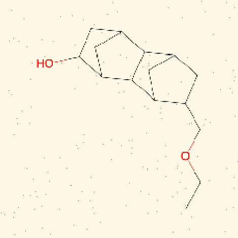 CCOCC1CC2CC1C1C3CC(CC3O)C21